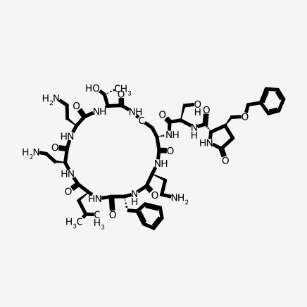 CC(C)C[C@@H]1NC(=O)[C@@H](Cc2ccccc2)NC(=O)[C@H](CCN)NC(=O)[C@@H](NC(=O)[C@@H](CO)NC(=O)[C@H]2NC(=O)C[C@@H]2COCc2ccccc2)CCNC(=O)[C@H]([C@@H](C)O)NC(=O)[C@H](CCN)NC(=O)[C@H](CCN)NC1=O